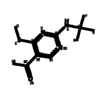 CSc1nc(NC(C)(C)C)ncc1C(C)=O